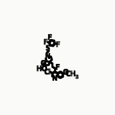 COc1ccc2ncc(Cl)c([C@@H](F)CCC3(CC(=O)O)CCN(CCSc4cc(F)cc(F)c4F)CC3)c2c1